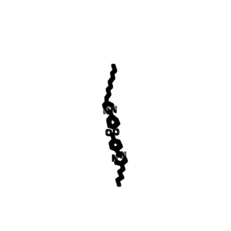 CCCCCCCCCc1cnc(-c2ccc(OC(=O)c3ccc(-c4ncc(CCCCC)cn4)cc3)cc2)nc1